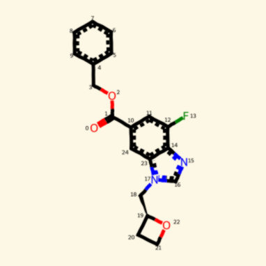 O=C(OCc1ccccc1)c1cc(F)c2ncn(C[C@@H]3CCO3)c2c1